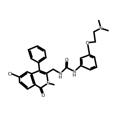 CN(C)CCOc1cccc(NC(=O)NCc2c(-c3ccccc3)c3cc(Cl)ccc3c(=O)n2C)c1